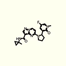 Cn1cc(F)cc(C2CCCN2c2ccn3ncc(C(=O)NC4(C)CC4)c3n2)c1=O